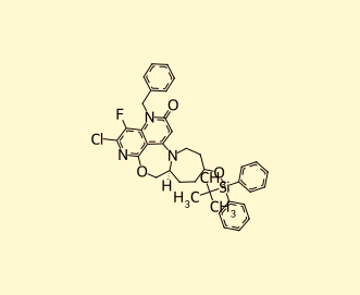 CC(C)(C)[Si](OC1CC[C@H]2COc3nc(Cl)c(F)c4c3c(cc(=O)n4Cc3ccccc3)N2CC1)(c1ccccc1)c1ccccc1